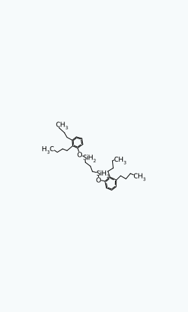 CCCCc1cccc(O[SiH2]CCC[SiH2]Oc2cccc(CCCC)c2CCCC)c1CCCC